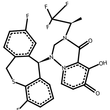 C[C@@H](N1CN([C@@H]2c3cc(F)ccc3CSc3c(F)cccc32)n2ccc(=O)c(O)c2C1=O)C(F)(F)F